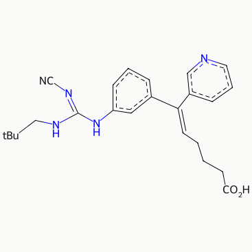 CC(C)(C)CNC(=NC#N)Nc1cccc(C(=CCCCC(=O)O)c2cccnc2)c1